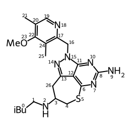 CCC(C)CNC1CSc2nc(N)nc3c2c(nn3Cc2ncc(C)c(OC)c2C)C1